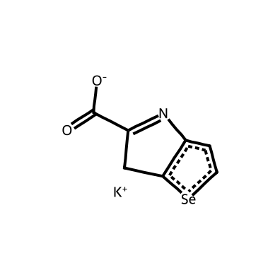 O=C([O-])C1=Nc2cc[se]c2C1.[K+]